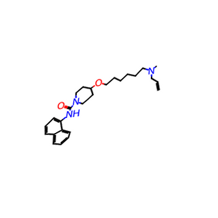 C=CCN(C)CCCCCCOC1CCN(C(=O)Nc2cccc3ccccc23)CC1